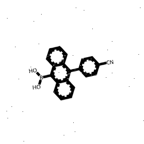 N#Cc1ccc(-c2c3ccccc3c(B(O)O)c3ccccc23)cc1